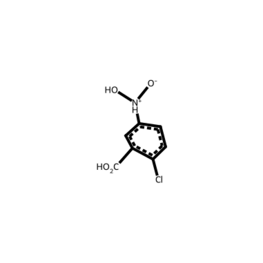 O=C(O)c1cc([NH+]([O-])O)ccc1Cl